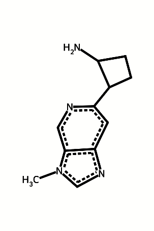 Cn1cnc2cc(C3CCC3N)ncc21